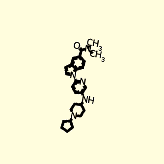 CN(C)C(=O)c1ccc2c(ccn2-c2ccc(NC3CCN(C4CCCC4)CC3)cn2)c1